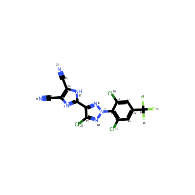 N#Cc1nc(-c2nn(-c3c(Cl)cc(C(F)(F)F)cc3Cl)nc2Cl)[nH]c1C#N